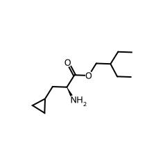 CCC(CC)COC(=O)[C@@H](N)CC1CC1